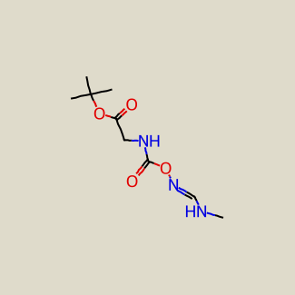 CNC=NOC(=O)NCC(=O)OC(C)(C)C